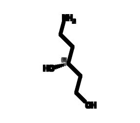 NCC[C@@H](O)CCO